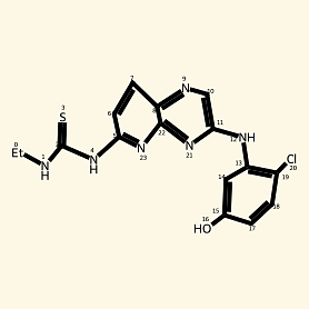 CCNC(=S)Nc1ccc2ncc(Nc3cc(O)ccc3Cl)nc2n1